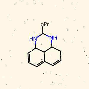 CCCC1NC2C=CC=C3C=CCC(N1)C32